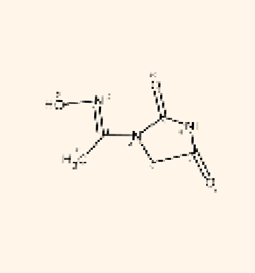 CC(=NO)N1CC(=O)NC1=O